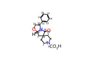 O=C(O)N1CCC2(CC1)C[C@@H]1OC[C@@H](c3ccccc3)N1C2=O